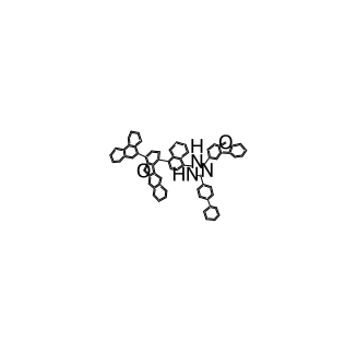 c1ccc(-c2ccc(C3=NC(c4ccc5oc6ccccc6c5c4)NC(c4ccc(-c5ccc(-c6cc7ccccc7c7ccccc67)c6oc7cc8ccccc8cc7c56)c5ccccc45)N3)cc2)cc1